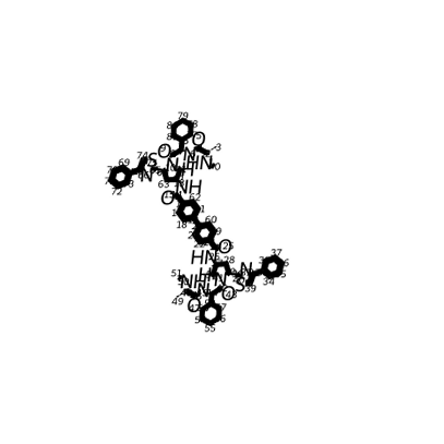 CN[C@@H](C)C(=O)N[C@H](C(=O)N1C[C@@H](NC(=O)c2ccc(-c3ccc(C(=O)N[C@H]4C[C@@H](c5nc(-c6ccccc6)cs5)N(C(=O)[C@@H](NC(=O)[C@H](C)NC)C5CCCCC5)C4)cc3)cc2)C[C@H]1c1nc(-c2ccccc2)cs1)C1CCCCC1